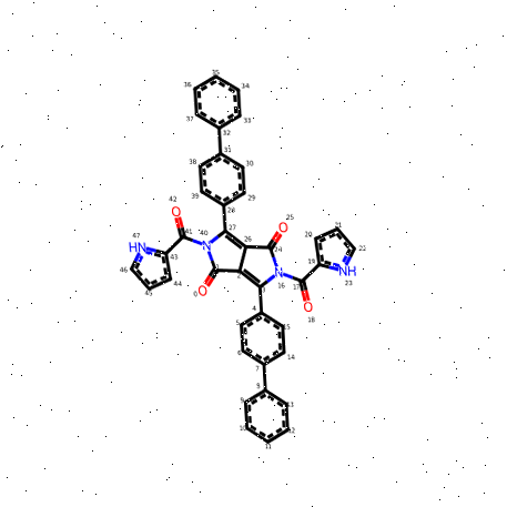 O=C1C2=C(c3ccc(-c4ccccc4)cc3)N(C(=O)c3ccc[nH]3)C(=O)C2=C(c2ccc(-c3ccccc3)cc2)N1C(=O)c1ccc[nH]1